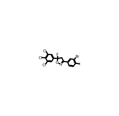 FC1(c2cc(Cl)c(Cl)c(Cl)c2)CC(c2ccc(I)c(Br)c2)=NO1